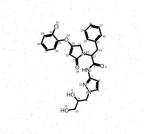 O=C(Nc1ccn(CC(O)CO)n1)C(Cc1ccccc1)N1CC(Oc2ccccc2Cl)=CC1=O